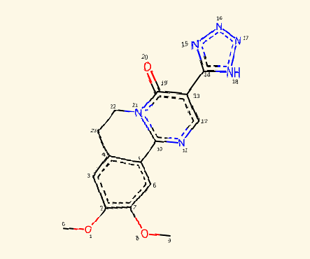 COc1cc2c(cc1OC)-c1ncc(-c3nnn[nH]3)c(=O)n1CC2